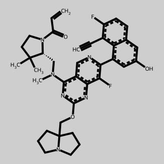 C#Cc1c(F)ccc2cc(O)cc(-c3ncc4c(N(C)C[C@H]5N(C(=O)C=C)CCC5(C)C)nc(OCC56CCCN5CCC6)nc4c3F)c12